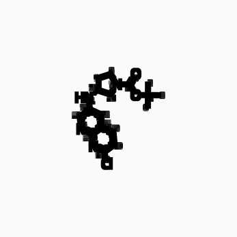 CC(C)(C)OC(=O)N1CC[C@@H](Nc2cnc3nc(Cl)ccc3c2)C1